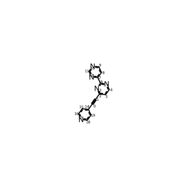 C(#Cc1ccnc(-c2ccncn2)n1)c1ccncc1